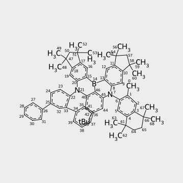 Cc1cc2c(cc1N1c3cc4c(cc3B3c5cc6c(cc5N(c5ccc(-c7ccccc7)cc5-c5ccccc5)c5cc(C(C)(C)C)cc1c53)C(C)(C)CC6(C)C)C(C)(C)CC4(C)C)C(C)(C)CCC2(C)C